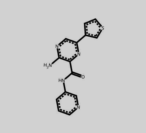 Nc1ncc(-c2ccsc2)nc1C(=O)Nc1cccnc1